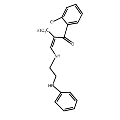 CCOC(=O)C(=CNCCNc1ccccc1)C(=O)c1ccccc1Cl